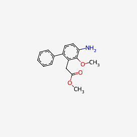 COC(=O)Cc1c(-c2ccccc2)ccc(N)c1OC